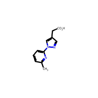 Cc1cccc(-n2cc(CC(=O)O)cn2)n1